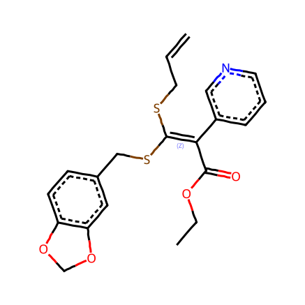 C=CCS/C(SCc1ccc2c(c1)OCO2)=C(/C(=O)OCC)c1cccnc1